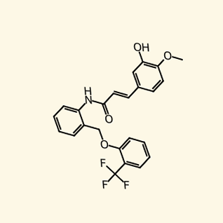 COc1ccc(C=CC(=O)Nc2ccccc2COc2ccccc2C(F)(F)F)cc1O